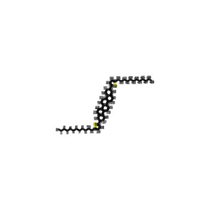 CCCCCCCCCCCCc1ccc(-c2ccc3c(ccc4c3ccc3c5ccc6cc(-c7ccc(CCCCCCCCCCCC)s7)ccc6c5ccc43)c2)s1